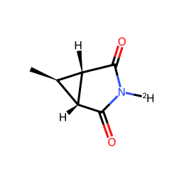 [2H]N1C(=O)[C@@H]2[C@@H](C)[C@@H]2C1=O